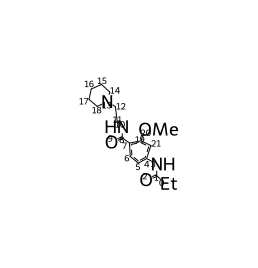 CCC(=O)Nc1ccc(C(=O)NCCN2CCCCC2)c(OC)c1